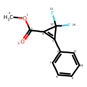 COC(=O)C1=C(c2ccccc2)C1(F)F